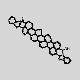 O=c1c2ccc3c4ccc5c6ccc7c8ccc9c%10c(ccc(c%11ccc(c%12ccc(c%13ccc(c2c3%13)c2nc3ccccc3n12)c4c5%12)c6c7%11)c%108)-c1nc2ccccc2n1C9O